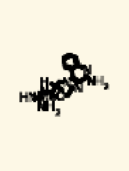 COCc1nc2c(N)nc3ccccc3c2n1CC(C)(C)CNC(=N)N